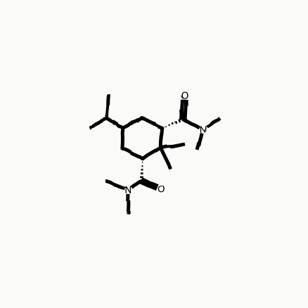 CC(C)C1C[C@H](C(=O)N(C)C)C(C)(C)[C@H](C(=O)N(C)C)C1